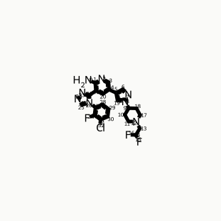 Nc1ncc(-c2cnn(C3CCN(CC(F)F)CC3)c2)cc1-c1nncn1-c1cccc(Cl)c1F